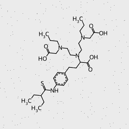 CCCN(CCN(CCN(CCC)CC(=O)O)C(CCc1ccc(NC(=S)C(CC)CC)cc1)C(=O)O)CC(=O)O